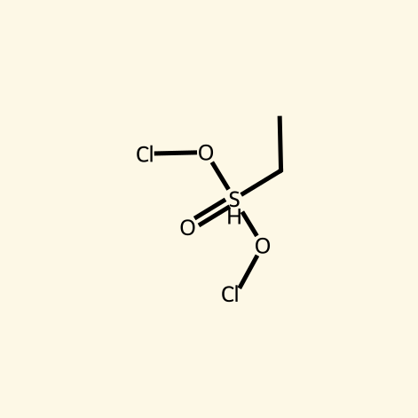 CC[SH](=O)(OCl)OCl